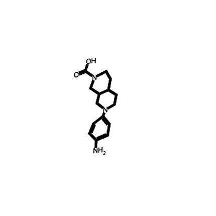 Nc1ccc(N2CCC3CCN(C(=O)O)CC3C2)cc1